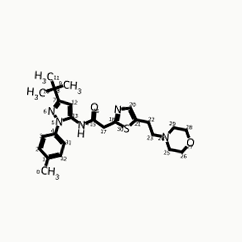 Cc1ccc(-n2nc(C(C)(C)C)cc2NC(=O)Cc2ncc(CCN3CCOCC3)s2)cc1